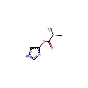 C[C@H](N)C(=O)Oc1c[nH]cn1